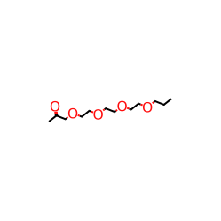 CCCOCCOCCOCCOCC(C)=O